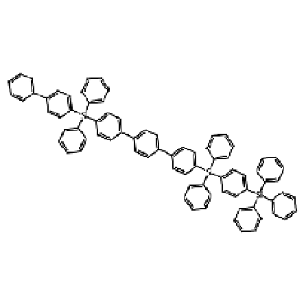 c1ccc(-c2ccc([Si](c3ccccc3)(c3ccccc3)c3ccc(-c4ccc(-c5ccc([Si](c6ccccc6)(c6ccccc6)c6ccc([Si](c7ccccc7)(c7ccccc7)c7ccccc7)cc6)cc5)cc4)cc3)cc2)cc1